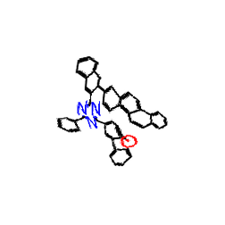 c1ccc(-c2nc(-c3ccc4oc5ccccc5c4c3)nc(-c3cc4ccccc4cc3-c3ccc4c(ccc5c6ccccc6ccc45)c3)n2)cc1